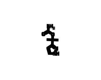 CC(C)(OC(N)=O)c1cc[nH]n1